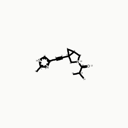 Cc1nc(C#CC23CC2CN(C(=O)C(C)C)C3)cs1